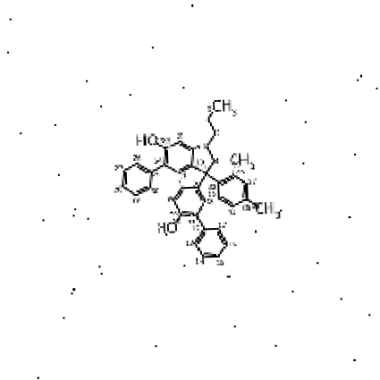 CCCCCC(c1ccc(O)c(-c2ccccc2)c1)(c1ccc(O)c(-c2ccccc2)c1)c1ccc(C)cc1C